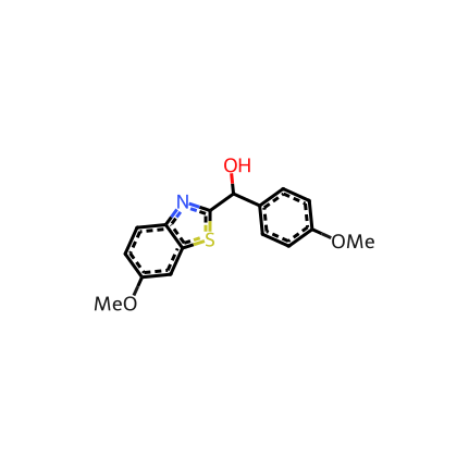 COc1ccc(C(O)c2nc3ccc(OC)cc3s2)cc1